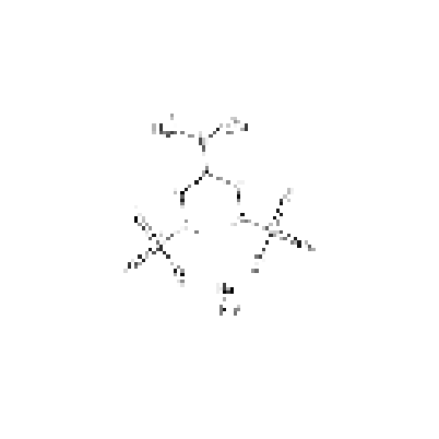 CN(C)C(CSS(=O)(=O)[O-])CSS(=O)(=O)[O-].[Na+].[Na+]